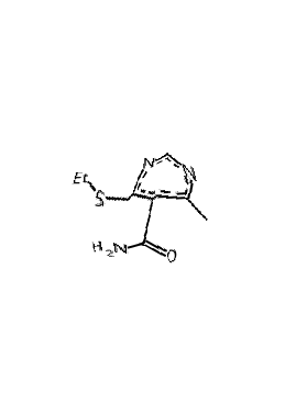 CCSc1ncnc(C)c1C(N)=O